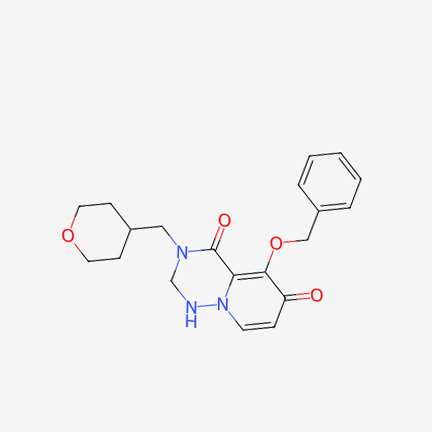 O=C1c2c(OCc3ccccc3)c(=O)ccn2NCN1CC1CCOCC1